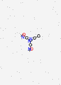 CC1(C)COC(c2ccc(-c3cc(-c4ccc(-c5ccccc5)cc4)nc(-c4ccc(C5=NC(C)(C)CO5)cc4)n3)cc2)=N1